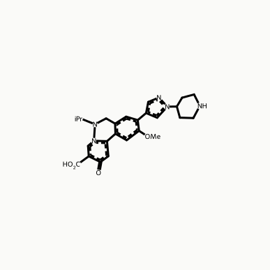 COc1cc2c(cc1-c1cnn(C3CCNCC3)c1)CN(C(C)C)n1cc(C(=O)O)c(=O)cc1-2